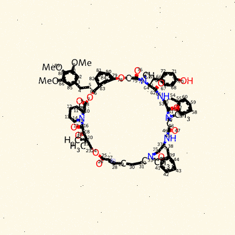 COc1cc(CC[C@H]2OC(=O)[C@@H]3CCCCN3C(=O)C(=O)C(C)(C)COC(=O)/C=C/CCCCN(C)C(=O)[C@@H](Cc3ccccc3)NC(=O)CN(C)C(=O)[C@@H](Cc3ccccc3)NC(=O)[C@H](Cc3ccc(O)cc3)N(C)C(=O)COc3cccc2c3)cc(OC)c1OC